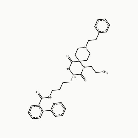 CCCN1C(=O)[C@H](CCCCNC(=O)c2ccccc2-c2ccccc2)NC(=O)C12CCN(CCc1ccccc1)CC2